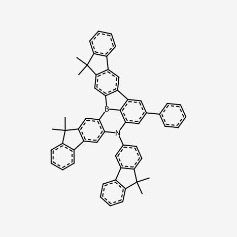 CC1(C)c2ccccc2-c2cc(N3c4cc5c(cc4B4c6cc7c(cc6-c6cc(-c8ccccc8)cc3c64)-c3ccccc3C7(C)C)C(C)(C)c3ccccc3-5)ccc21